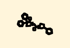 O=C(CN1CCC(c2ccccc2)(c2ccccc2)C1=O)N1CCC(c2ccccc2)C1